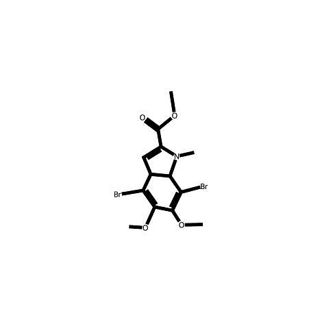 COC(=O)C1=CC2C(Br)=C(OC)C(OC)=C(Br)C2N1C